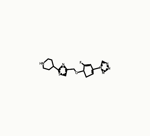 FC1=CC(n2cnnn2)=CCC1OCc1csc(C2CCNCC2)n1